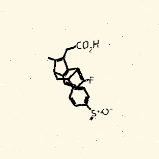 CC1=C(CC(=O)O)c2c3ccc(F)c2C(c2ccc([S+](C)[O-])cc2)CC13